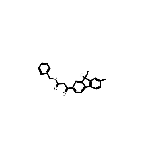 Cc1ccc2c(c1)C(F)(F)c1cc(C(=O)CC(=O)OCc3ccccc3)ccc1-2